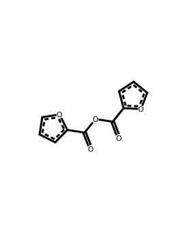 O=C(OC(=O)c1ccco1)c1ccco1